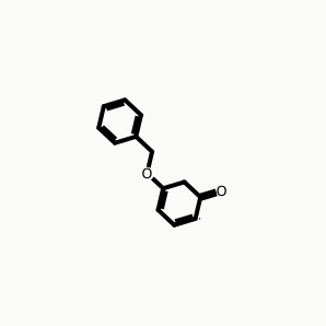 O=C1[C]=CC=C(OCc2ccccc2)C1